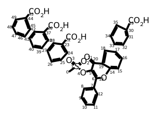 CS(=O)(=O)Oc1c(-c2ccccc2)oc2ccccc2c1=O.O=C(O)c1ccccc1.O=C(O)c1ccccc1.O=C(O)c1ccccc1.O=C(O)c1ccccc1